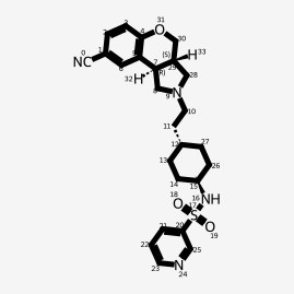 N#Cc1ccc2c(c1)[C@@H]1CN(CC[C@H]3CC[C@H](NS(=O)(=O)c4cccnc4)CC3)C[C@H]1CO2